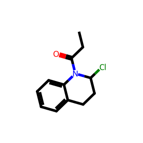 CCC(=O)N1c2ccccc2CCC1Cl